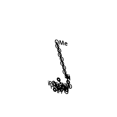 COCCOCCOCCOCCOCCOCCOCCOCCn1cc(-c2ccc(C(=O)OC[N+]3(CC(=O)N[C@@H](CCc4ccccc4)C(=O)N[C@@H](CC(C)C)C(=O)N[C@@H](Cc4ccccc4)C(=O)N[C@@H](CC(C)C)C(=O)[C@@]4(C)CO4)CCOCC3)cc2)nn1